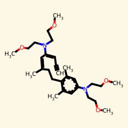 C#C/C=C(\C=C(\C)CCc1c(C)cc(N(CCOC)CCOC)cc1C)N(CCOC)CCOC